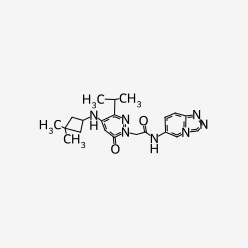 CC(C)c1nn(CC(=O)Nc2ccc3nncn3c2)c(=O)cc1NC1CC(C)(C)C1